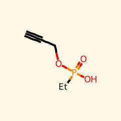 C#CCOP(=O)(O)CC